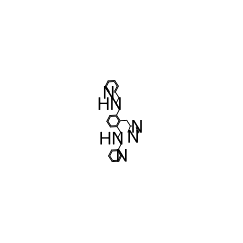 C1=NC=NC1Cc1c(CNCc2ccccn2)cccc1CNCc1ccccn1